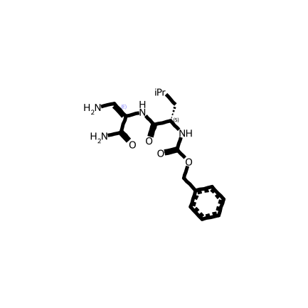 CC(C)C[C@H](NC(=O)OCc1ccccc1)C(=O)N/C(=C/N)C(N)=O